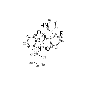 O=C1C(N(C(=O)[C@H]2CCCCN2)c2cccc(F)c2)c2ccccc2N1C1CCCCC1